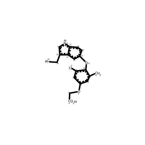 Cc1cc(OCC(=O)O)cc(Cl)c1Oc1ccc2[nH]cc(CC(C)C)c2c1